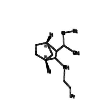 CCOC(O)C1C(NCCC(C)C)[C@@H]2CC[C@H]1C2